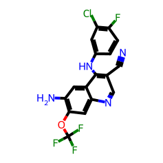 N#Cc1cnc2cc(OC(F)(F)F)c(N)cc2c1Nc1ccc(F)c(Cl)c1